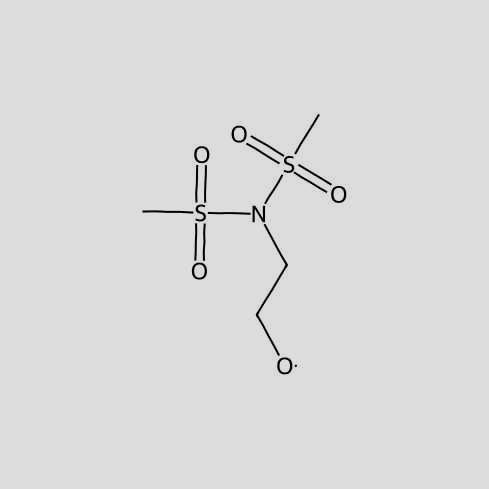 CS(=O)(=O)N(CC[O])S(C)(=O)=O